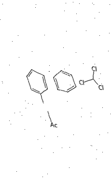 CC(C)=O.Cc1ccccc1.ClC(Cl)Cl.c1ccccc1